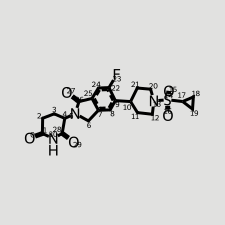 O=C1CCC(N2Cc3cc(C4CCN(S(=O)(=O)C5CC5)CC4)c(F)cc3C2=O)C(=O)N1